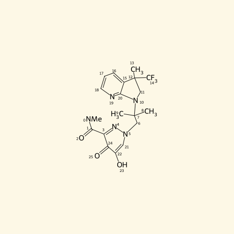 CNC(=O)c1nn(CC(C)(C)N2CC(C)(C(F)(F)F)c3cccnc32)cc(O)c1=O